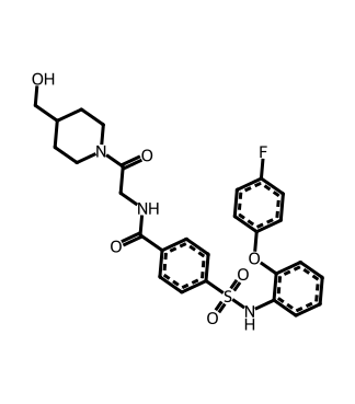 O=C(NCC(=O)N1CCC(CO)CC1)c1ccc(S(=O)(=O)Nc2ccccc2Oc2ccc(F)cc2)cc1